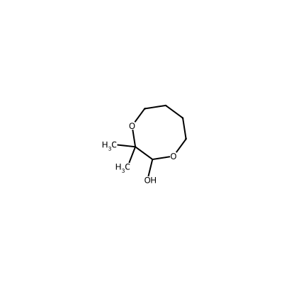 CC1(C)OCCCCOC1O